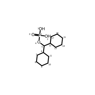 O=P(O)(O)OC(C1CCCCC1)C1CCCCC1